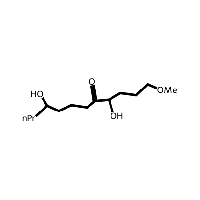 CCCC(O)CCCC(=O)C(O)CCCOC